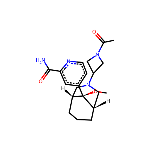 CO[C@]1(c2ccnc(C(N)=O)c2)[C@@H]2CCC[C@H]1CN(C1CN(C(C)=O)C1)C2